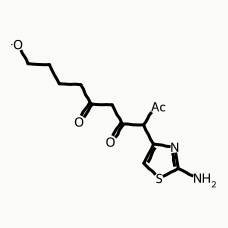 CC(=O)C(C(=O)CC(=O)CCCC[O])c1csc(N)n1